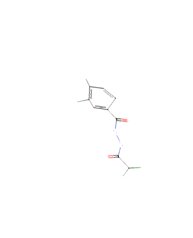 Cc1ccc(C(=O)NNC(=O)C(F)F)cc1F